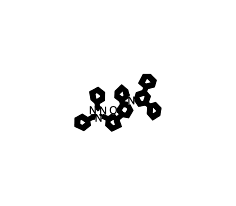 C1=CC2c3cccc(-c4nc(-c5ccccc5)nc(-c5ccccc5)n4)c3OC2c2c1n(-c1cc(-c3ccccc3)cc(-c3ccccc3)c1)c1ccccc21